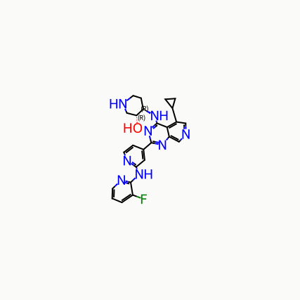 O[C@@H]1CNCC[C@H]1Nc1nc(-c2ccnc(Nc3ncccc3F)c2)nc2cncc(C3CC3)c12